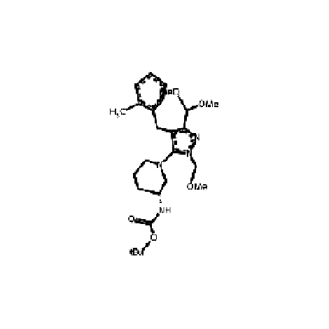 COCn1nc(C(OC)OC)c(Cc2ccccc2C)c1N1CCC[C@@H](NC(=O)OC(C)(C)C)C1